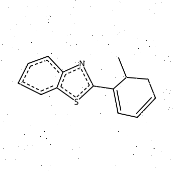 CC1CC=CC=C1c1nc2ccccc2s1